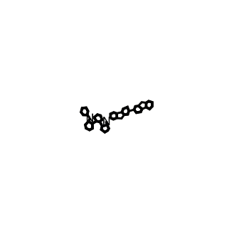 c1ccc(-n2c3ccccc3c3c4c5ccccc5n(-c5ccc6c(c5)Cc5cc(-c7ccc8c(c7)Cc7ccccc7-8)ccc5-6)c4ccc32)cc1